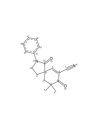 CC1(C)CC2(C=C(C#N)C1=O)CCN(c1ccccc1)C2=O